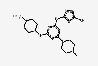 CN1CCN(c2cc(Nc3ncc(C#N)s3)nc(SC3CCN(C(=O)O)CC3)n2)CC1